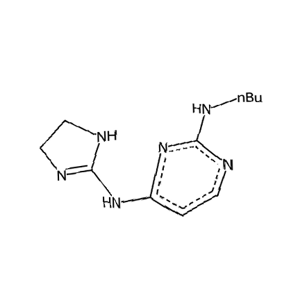 CCCCNc1nccc(NC2=NCCN2)n1